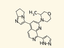 CC1COCCN1c1cc(-c2cnc3n2CCC3)c2ccnc(-c3ccn[nH]3)c2n1